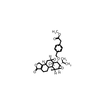 COC(=O)Cc1ccc(CO[C@@H]2[C@@]3(C(C)C)O[C@H]3[C@@H]3C[C@]34[C@]23O[C@H]3C[C@H]2C3=C(CC[C@@]24C)C(=O)OC3)cc1